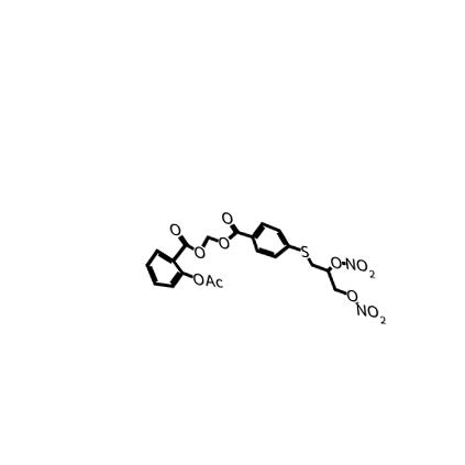 CC(=O)Oc1ccccc1C(=O)OCOC(=O)c1ccc(SCC(CO[N+](=O)[O-])O[N+](=O)[O-])cc1